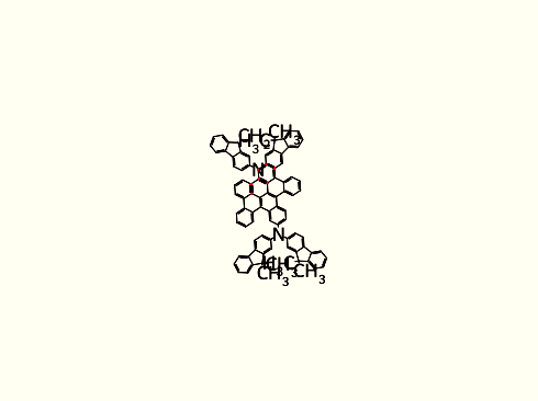 C=C1c2ccccc2-c2ccc(N(c3ccc4c(c3)C(C)(C)c3ccccc3-4)c3ccc4c(-c5ccccc5-c5ccccc5)c5cc(N(c6ccc7c(c6)C(C)(C)c6ccccc6-7)c6ccc7c(c6)C(C)(C)c6ccccc6-7)ccc5c(-c5ccccc5-c5ccccc5)c4c3)cc21